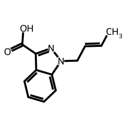 CC=CCn1nc(C(=O)O)c2ccccc21